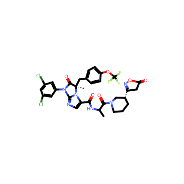 CC(NC(=O)c1cnc2n1[C@](C)(Cc1ccc(OC(F)(F)F)cc1)C(=O)N2c1cc(Cl)cc(Cl)c1)C(=O)N1CCC[C@@H](C2=NOC(=O)C2)C1